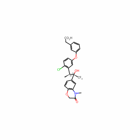 C[C@@H](c1cc(Oc2cccc(CC(=O)O)c2)ccc1Cl)[C@](O)(c1ccc2c(c1)N(C)C(=O)CO2)C(F)(F)F